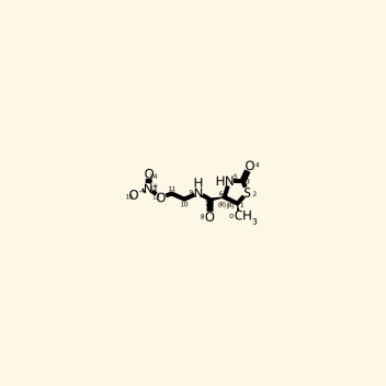 C[C@H]1SC(=O)N[C@@H]1C(=O)NCCO[N+](=O)[O-]